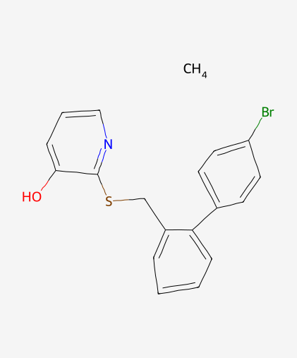 C.Oc1cccnc1SCc1ccccc1-c1ccc(Br)cc1